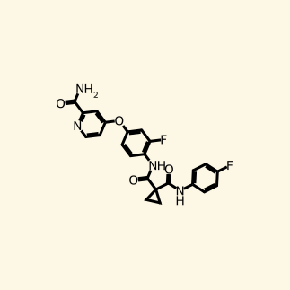 NC(=O)c1cc(Oc2ccc(NC(=O)C3(C(=O)Nc4ccc(F)cc4)CC3)c(F)c2)ccn1